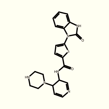 O=C(NC1C=NC=CC1N1CCNCC1)c1ccc(-n2c(=O)[nH]c3ccccc32)s1